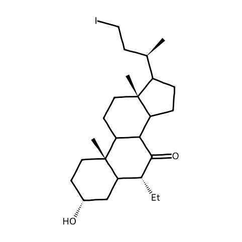 CC[C@H]1C(=O)C2C3CCC([C@H](C)CCI)[C@@]3(C)CCC2[C@@]2(C)CC[C@@H](O)CC12